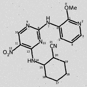 COc1ncccc1Nc1ncc([N+](=O)[O-])c(NC2CCCCC2C#N)n1